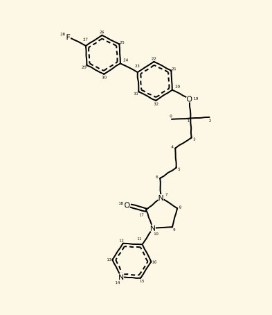 CC(C)(CCCCN1CCN(c2ccncc2)C1=O)Oc1ccc(-c2ccc(F)cc2)cc1